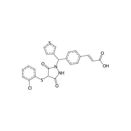 O=C(O)/C=C/c1ccc(C(c2ccsc2)N2NC(=O)C(Sc3ccccc3Cl)C2=O)cc1